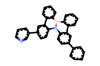 c1ccc(-c2ccc3c(c2)-c2ccccc2B2c4ccccc4-c4cc(-c5cccnc5)ccc4N23)cc1